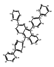 c1ccc(-c2ccc3c(-c4ccc(-c5ccccn5)cc4)c4ccccc4c(-c4ccc(-c5ccccn5)cc4)c3c2)cc1